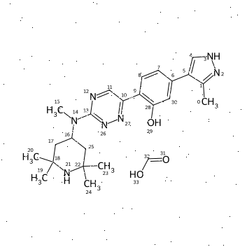 Cc1n[nH]cc1-c1ccc(-c2cnc(N(C)C3CC(C)(C)NC(C)(C)C3)nn2)c(O)c1.O=CO